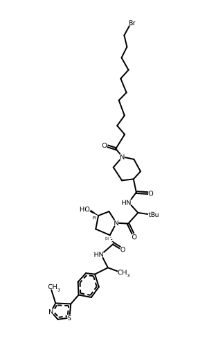 Cc1ncsc1-c1ccc(C(C)NC(=O)[C@@H]2C[C@@H](O)CN2C(=O)C(NC(=O)C2CCN(C(=O)CCCCCCCCCCBr)CC2)C(C)(C)C)cc1